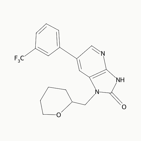 O=c1[nH]c2ncc(-c3cccc(C(F)(F)F)c3)cc2n1CC1CCCCO1